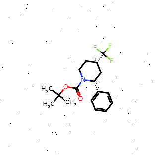 CC(C)(C)OC(=O)N1CC[C@H](C(F)(F)F)C[C@@H]1c1ccccc1